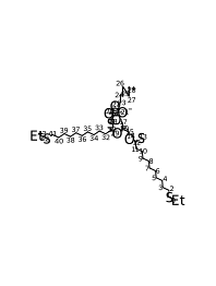 CCSCCCCCCCCCCC(=S)OC[C@H](COP(=O)([O-])OCC[N+](C)(C)C)OC(=S)CCCCCCCCCCSCC